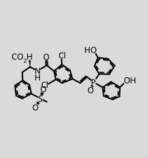 CS(=O)(=O)c1cccc(C[C@H](NC(=O)c2c(Cl)cc(/C=C/P(=O)(c3cccc(O)c3)c3cccc(O)c3)cc2Cl)C(=O)O)c1